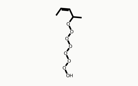 C/C=C\C(C)OOOOOOOO